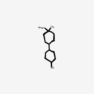 CCCCCCCC1(C#N)CCC(C2CCC(CCC)CC2)CC1